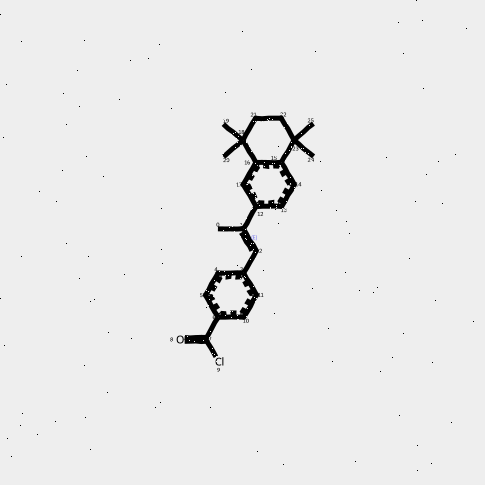 C/C(=C\c1ccc(C(=O)Cl)cc1)c1ccc2c(c1)C(C)(C)CCC2(C)C